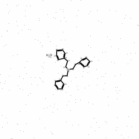 O.c1ccc(C[CH2][Sn]([CH2]Cc2ccccc2)[CH2]Cc2ccccc2)cc1